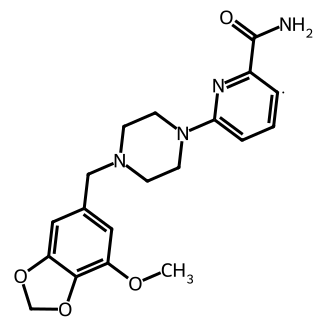 COc1cc(CN2CCN(c3cc[c]c(C(N)=O)n3)CC2)cc2c1OCO2